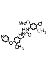 COc1cc(Cl)c(C)cc1NC(=O)NCc1ccc(Oc2ccncc2)c(C)c1